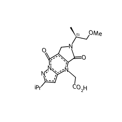 COC[C@H](C)N1Cc2c(n(CC(=O)O)c3cc(C(C)C)nn3c2=O)C1=O